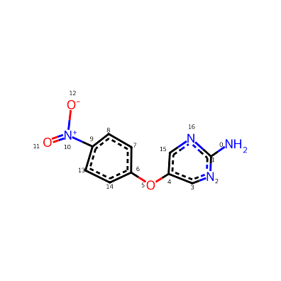 Nc1ncc(Oc2ccc([N+](=O)[O-])cc2)cn1